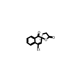 CCC1=C[C@@]2(CCC(=O)O2)C(=O)c2ccccc21